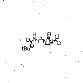 CC(C)(C)OC(=O)NCCN1CCN(C(=O)Cl)C1=O